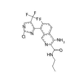 CCCNC(=O)c1ncc2c(-c3nc(Cl)ncc3C(F)(F)F)c(F)ccc2c1N